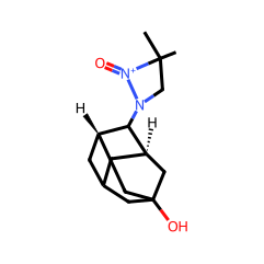 CC1(C)CN(C2[C@@H]3CC4C[C@H]2CC(O)(C4)C3)[N+]1=O